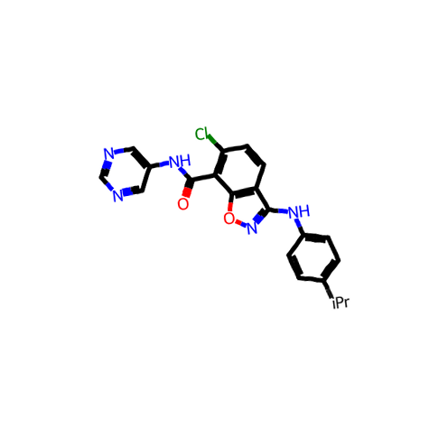 CC(C)c1ccc(Nc2noc3c(C(=O)Nc4cncnc4)c(Cl)ccc23)cc1